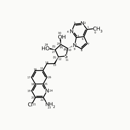 Cc1ncnc2c1ccn2[C@@H]1S[C@@H](CCc2ccc3cc(Cl)c(N)nc3c2)[C@@H](O)[C@H]1O